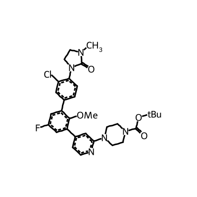 COc1c(-c2ccnc(N3CCN(C(=O)OC(C)(C)C)CC3)c2)cc(F)cc1-c1ccc(N2CCN(C)C2=O)c(Cl)c1